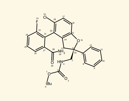 CC(C)(C)OC(=O)NC[C@@]1(c2ccccc2)Cc2c(ccc(Cl)c2-c2c(F)cccc2C(N)=O)O1